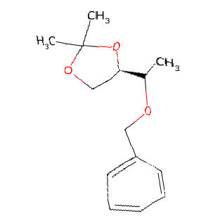 CC(OCc1ccccc1)[C@H]1COC(C)(C)O1